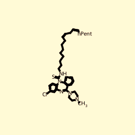 CCCCC/C=C\C/C=C\CCCCCCCCNC(=S)N1c2ccc(Cl)cc2N=C(N2CCN(C)CC2)c2ccccc21